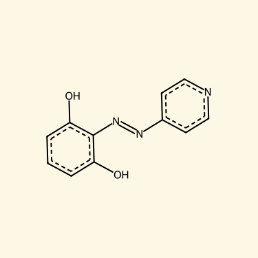 Oc1cccc(O)c1N=Nc1ccncc1